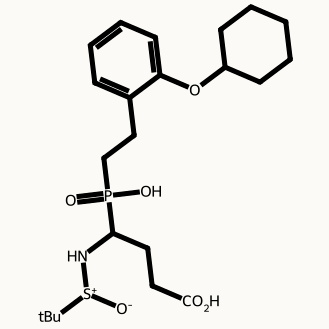 CC(C)(C)[S+]([O-])NC(CCC(=O)O)P(=O)(O)CCc1ccccc1OC1CCCCC1